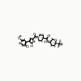 COc1cc(-c2cc(C(=O)N3CCC(C(=O)N[C@@H]4CC[C@H](C(F)(F)F)OC4)CC3)n[nH]2)c(Cl)cn1